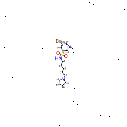 O=S(=O)(NCCCCCN1CCCC1)c1cncc(Br)c1